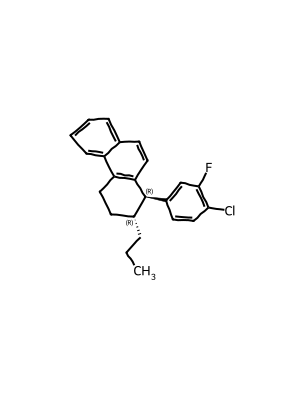 CCC[C@@H]1CCc2c(ccc3ccccc23)[C@H]1c1ccc(Cl)c(F)c1